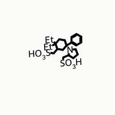 CCC1(CC)CCC(c2ccccc2)(N2CCCC2CS(=O)(=O)O)CC1CS(=O)(=O)O